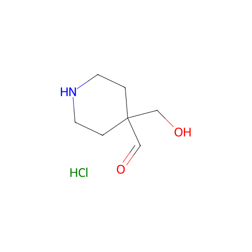 Cl.O=CC1(CO)CCNCC1